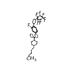 CCCCCC1CCC(C(=O)Oc2ccc(OC(F)(F)C(F)C(F)(F)F)c(F)c2)CC1